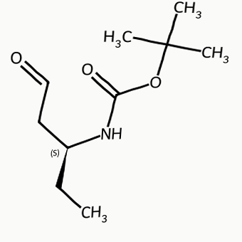 CC[C@@H](CC=O)NC(=O)OC(C)(C)C